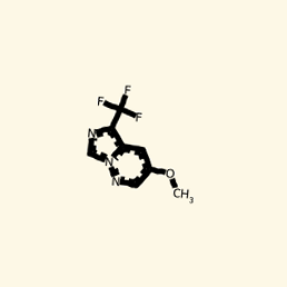 COc1cnn2cnc(C(F)(F)F)c2c1